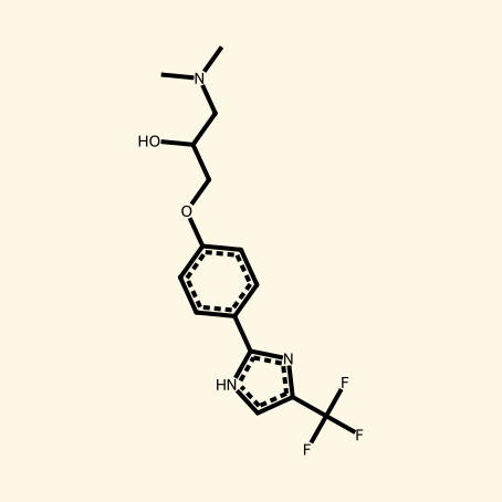 CN(C)CC(O)COc1ccc(-c2nc(C(F)(F)F)c[nH]2)cc1